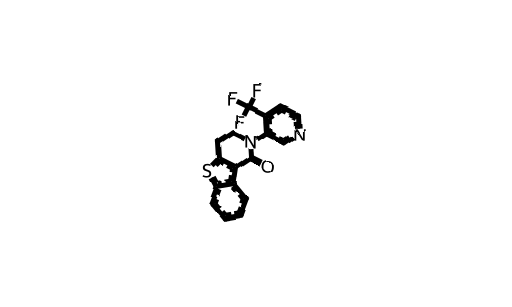 O=C1c2c(sc3ccccc23)CCN1c1cnccc1C(F)(F)F